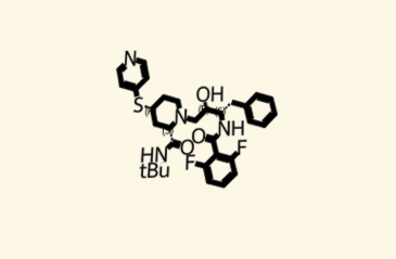 CC(C)(C)NC(=O)[C@@H]1C[C@H](Sc2ccncc2)CCN1C[C@@H](O)[C@H](Cc1ccccc1)NC(=O)c1c(F)cccc1F